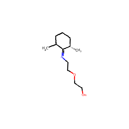 CC1CCC[C@H](C)/C1=N\CCOCCO